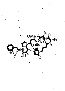 CC[C@H](C)[C@@H]([C@@H](CC(=O)N1CCC[C@H]1[C@H](OC)[C@@H](C)C(O)N[C@@H](Cc1ccccc1)C(=O)O)OC)N(C)C(=O)[C@@H](NC(=O)[C@H](C(C)C)N(C)C(=O)CCCN1C(=O)C=CC1=O)C(C)C